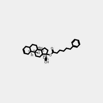 C#C[C@]1(OC(=O)CCCCCc2ccccc2)CC[C@H]2[C@@H]3CCC4CC=CC[C@@H]4[C@H]3CC[C@@]21C